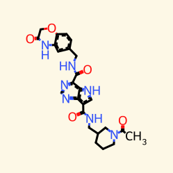 CC(=O)N1CCCC(CNC(=O)c2c[nH]c3c(C(=O)NCc4ccc5c(c4)NC(=O)CO5)ncnc23)C1